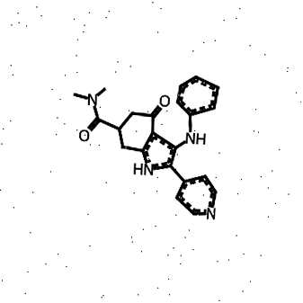 CN(C)C(=O)C1CC(=O)c2c([nH]c(-c3ccncc3)c2Nc2ccccc2)C1